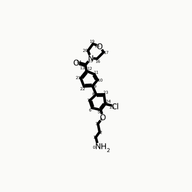 NCCCOc1ccc(-c2ccc(C(=O)N3CCOCC3)cc2)cc1Cl